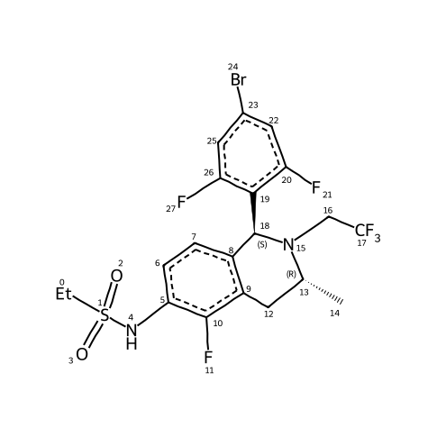 CCS(=O)(=O)Nc1ccc2c(c1F)C[C@@H](C)N(CC(F)(F)F)[C@@H]2c1c(F)cc(Br)cc1F